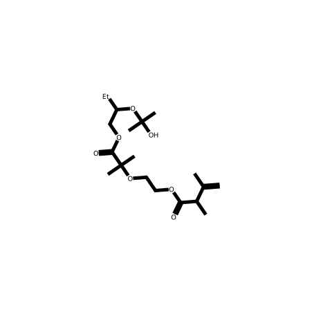 C=C(C)C(C)C(=O)OCCOC(C)(C)C(=O)OCC(CC)OC(C)(C)O